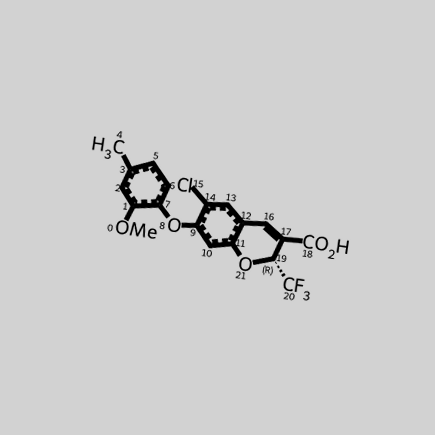 COc1cc(C)ccc1Oc1cc2c(cc1Cl)C=C(C(=O)O)[C@H](C(F)(F)F)O2